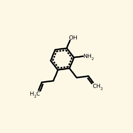 C=CCc1ccc(O)c(N)c1CC=C